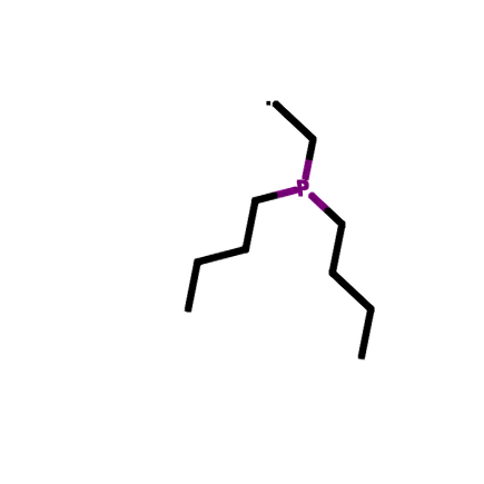 [CH2]CP(CCCC)CCCC